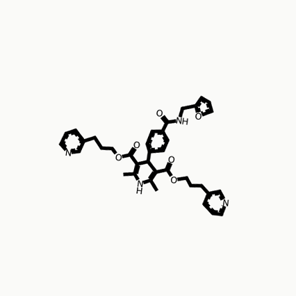 CC1=C(C(=O)OCCCc2cccnc2)C(c2ccc(C(=O)NCc3ccco3)cc2)C(C(=O)OCCCc2cccnc2)=C(C)N1